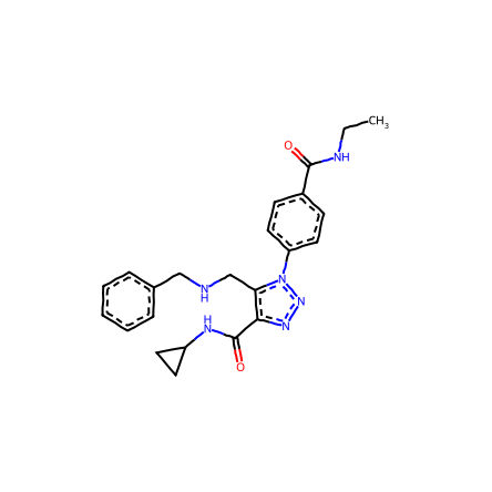 CCNC(=O)c1ccc(-n2nnc(C(=O)NC3CC3)c2CNCc2ccccc2)cc1